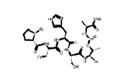 COC(=O)[C@H](C)N[PH](=O)O[C@H](C)[C@H](NC(=O)[C@H](CO)NC(=O)[C@H](Cc1c[nH]cn1)NC(=O)[C@H](CC(C)C)NC(=O)[C@@H]1CCCN1C(C)=O)C(C)=O